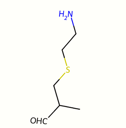 CC(C=O)CSCCN